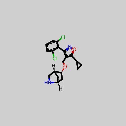 Clc1cccc(Cl)c1-c1noc(C2CC2)c1CO[C@H]1C[C@H]2C[C@@H]1CN2